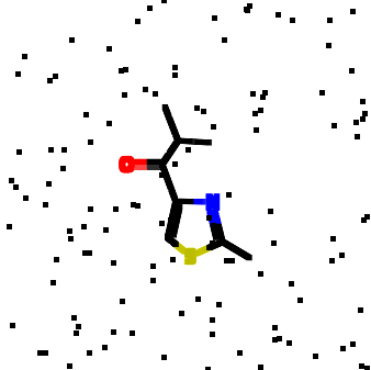 Cc1nc(C(=O)C(C)C)cs1